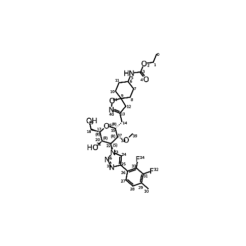 CCOC(=O)NC1CCC2(CC1)CC(C[C@H]1O[C@H](CO)[C@H](O)[C@H](n3cc(-c4ccc(C)c(F)c4F)nn3)[C@H]1OC)=NO2